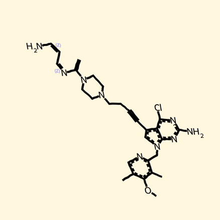 C=C(/N=C\C=C/N)N1CCN(CCC#Cc2cn(Cc3ncc(C)c(OC)c3C)c3nc(N)nc(Cl)c23)CC1